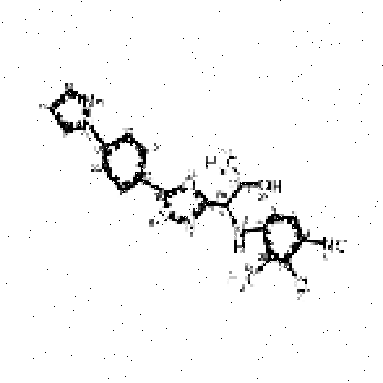 [C-]#[N+]c1ccc(N[C@@H](c2nnc(-c3ccc(-n4cccn4)cc3)o2)[C@H](C)O)c(C)c1Cl